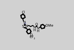 COc1ccc(NC(=O)NCCCn2c(-c3ccc(OC(F)(F)F)cc3)cs/c2=N\Cc2ccc(Cl)cc2)cc1